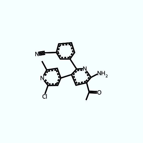 CC(=O)c1cc(-c2cc(C)nc(Cl)c2)c(-c2cccc(C#N)c2)nc1N